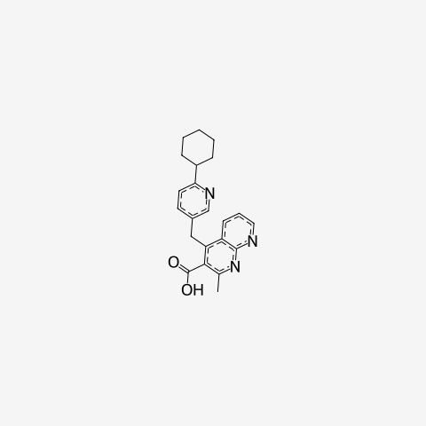 Cc1nc2ncccc2c(Cc2ccc(C3CCCCC3)nc2)c1C(=O)O